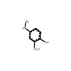 CCC(C)Nc1ccc(O)c(C(=O)O)c1